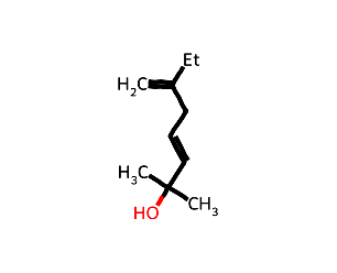 C=C(CC)CC=CC(C)(C)O